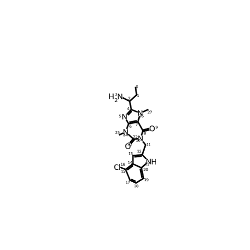 CCC(N)c1nc2c(c(=O)n(Cc3cc4c(Cl)cccc4[nH]3)c(=O)n2C)n1C